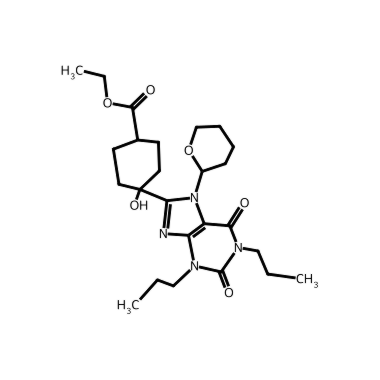 CCCn1c(=O)c2c(nc(C3(O)CCC(C(=O)OCC)CC3)n2C2CCCCO2)n(CCC)c1=O